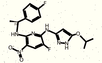 CC(C)Oc1cc(Nc2nc(N[C@@H](C)c3ccc(F)cc3)c([N+](=O)[O-])cc2F)n[nH]1